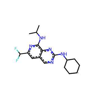 CC(C)Nc1nc(C(F)F)cc2cnc(NC3CC[CH]CC3)nc12